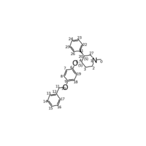 CN1CC[C@H](Oc2ccc(OCc3ccccc3)cc2)[C@@H](c2ccccc2)C1